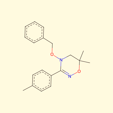 Cc1ccc(C2=NOC(C)(C)CN2OCc2ccccc2)cc1